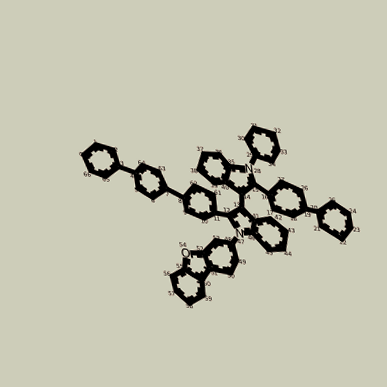 c1ccc(-c2ccc(-c3ccc(-c4c(-c5c(-c6ccc(-c7ccccc7)cc6)n(-c6ccccc6)c6ccccc56)c5ccccc5n4-c4ccc5c(c4)oc4ccccc45)cc3)cc2)cc1